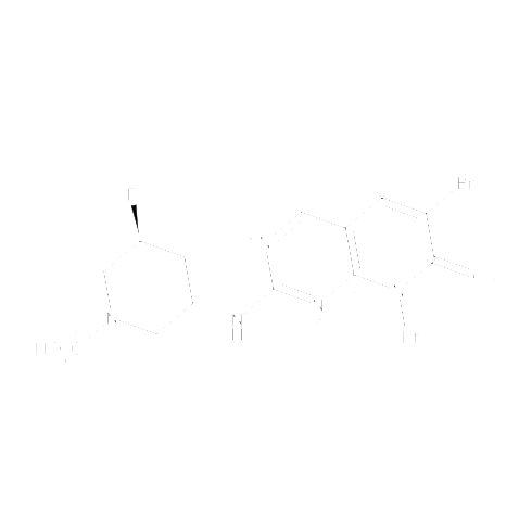 CCn1c(=O)c(Br)cc2cnc(N[C@H]3C[C@H](F)CN(C(=O)O)C3)nc21